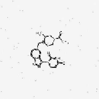 CC(=O)N1CCN(Cc2ccc3onc(-n4ccc(=O)[nH]c4=O)c3c2)C(C)C1